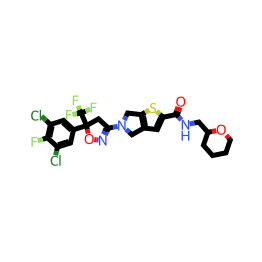 O=C(NCC1CCCCO1)c1cc2c(s1)CN(C1=NOC(c3cc(Cl)c(F)c(Cl)c3)(C(F)(F)F)C1)C2